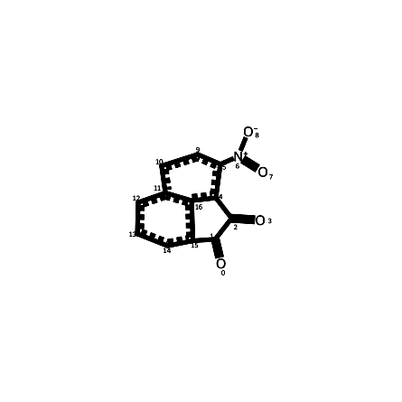 O=C1C(=O)c2c([N+](=O)[O-])ccc3cccc1c23